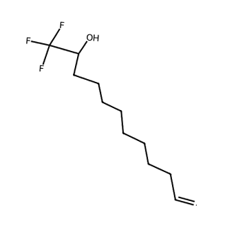 [CH]=CCCCCCCCCC(O)C(F)(F)F